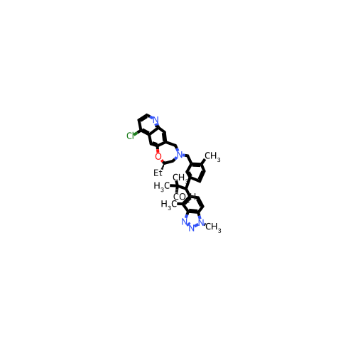 CC[C@@H]1CN(Cc2cc(C(c3ccc4c(nnn4C)c3C)C(C)(C)C(=O)O)ccc2C)Cc2cc3nccc(Cl)c3cc2O1